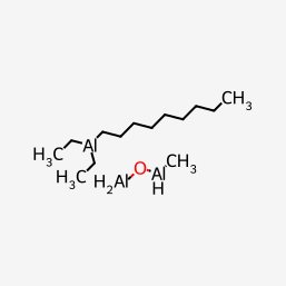 CCCCCCCC[CH2][Al]([CH2]C)[CH2]C.[CH3][AlH][O][AlH2]